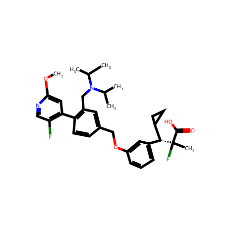 COc1cc(-c2ccc(COc3cccc([C@H](C4CC4)C(C)(F)C(=O)O)c3)cc2CN(C(C)C)C(C)C)c(F)cn1